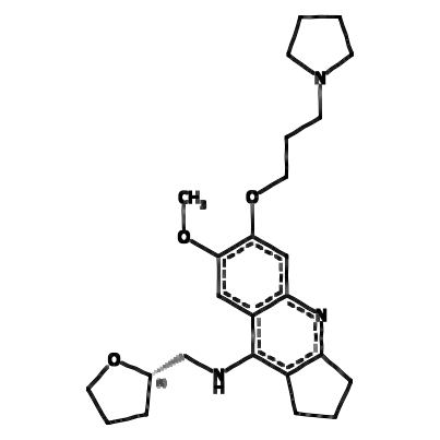 COc1cc2c(NC[C@@H]3CCCO3)c3c(nc2cc1OCCCN1CCCC1)CCC3